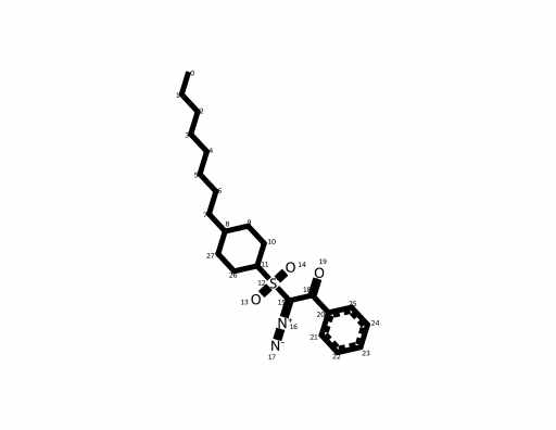 CCCCCCCCC1CCC(S(=O)(=O)C(=[N+]=[N-])C(=O)c2ccccc2)CC1